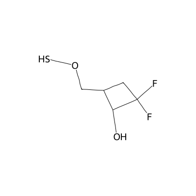 OC1C(COS)CC1(F)F